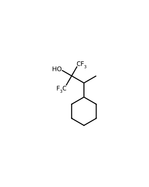 CC(C1CCCCC1)C(O)(C(F)(F)F)C(F)(F)F